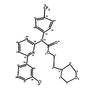 O=C(OCCN1CCOCC1)N(c1ccc(C(F)(F)F)cc1)c1nccc(-c2cccc(Cl)c2)n1